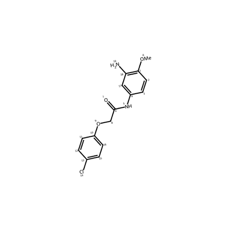 COc1ccc(NC(=O)COc2ccc(Cl)cc2)cc1N